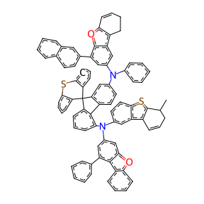 CC1CC=Cc2c1sc1ccc(N(c3cc(-c4ccccc4)c4c(c3)oc3ccccc34)c3cccc4c3-c3ccc(N(c5ccccc5)c5cc(-c6ccc7ccccc7c6)c6oc7c(c6c5)CCC=C7)cc3C43c4ccccc4Sc4ccccc43)cc21